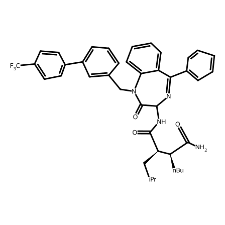 CCCC[C@H](C(N)=O)[C@@H](CC(C)C)C(=O)NC1N=C(c2ccccc2)c2ccccc2N(Cc2cccc(-c3ccc(C(F)(F)F)cc3)c2)C1=O